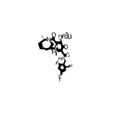 CCCCOc1c2n(cc(C(=O)NCc3c(F)cc(F)cc3F)c1=O)[C@H]1CC=C[C@H](C)N(C1)C2=O